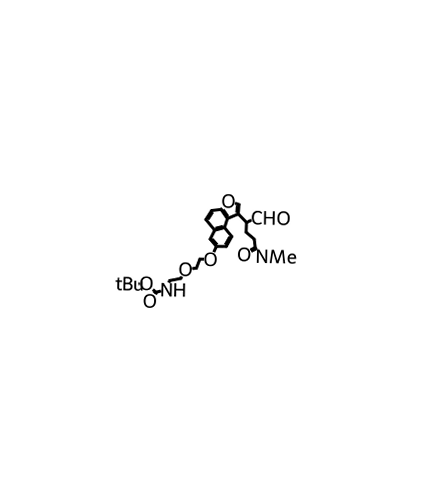 CNC(=O)CCC(C=O)c1coc2ccc3cc(OCCOCCNC(=O)OC(C)(C)C)ccc3c12